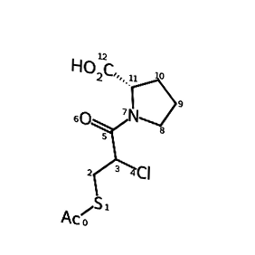 CC(=O)SCC(Cl)C(=O)N1CCC[C@H]1C(=O)O